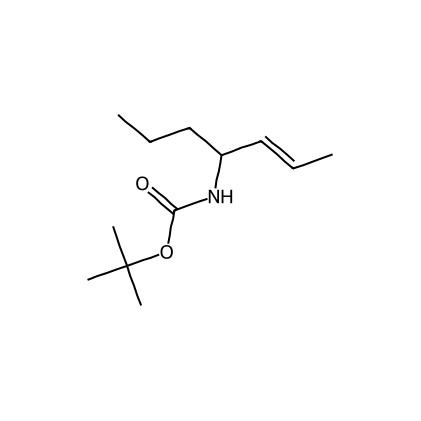 CC=CC(CCC)NC(=O)OC(C)(C)C